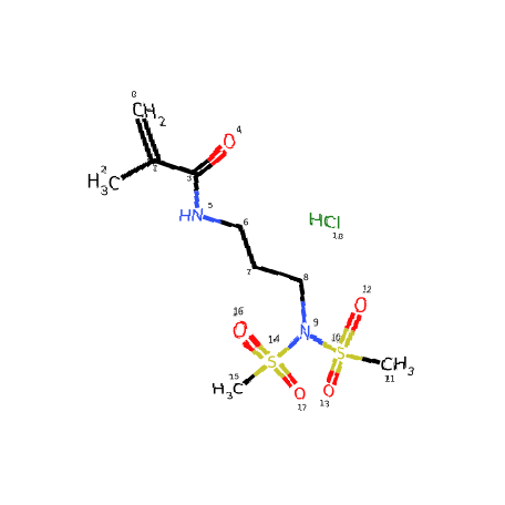 C=C(C)C(=O)NCCCN(S(C)(=O)=O)S(C)(=O)=O.Cl